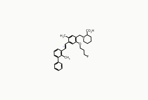 Cc1cc(CN2CCCCC2C(=O)O)c(OCCCF)cc1/C=C/c1cccc(-c2ccccc2)c1C